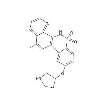 Cc1cc2c(c3ncccc13)NS(=O)(=O)c1ccc(OC3CCNC3)cc1-2